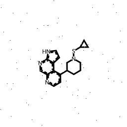 c1cc(C2CCCN(SC3CC3)C2)c2c(cnc3[nH]ccc32)n1